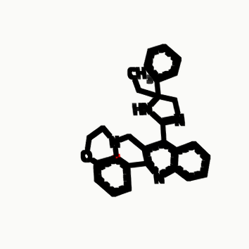 CCC1(c2ccccc2)CN=C(c2c(CN3CCOCC3)c(-c3ccccc3)nc3ccccc23)N1